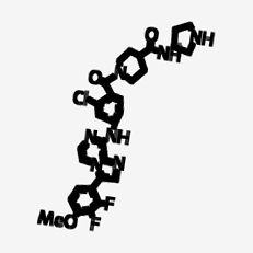 COc1ccc(-c2cnc3c(Nc4ccc(C(=O)N5CCC(C(=O)N[C@@H]6CCNC6)CC5)c(Cl)c4)nccn23)c(F)c1F